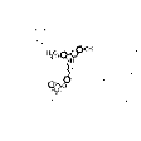 COc1ccc(C2CCc3cc(O)ccc3C2)c(NCCCCc2ccc(OC(C)CN3CCCCC3)cc2)c1